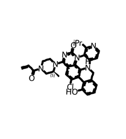 C=CC(=O)N1CCN(c2nc(=O)n(-c3c(C)ccnc3C(C)C)c3c4c(c(Cl)cc23)-c2c(O)cccc2CN4)[C@@H](C)C1